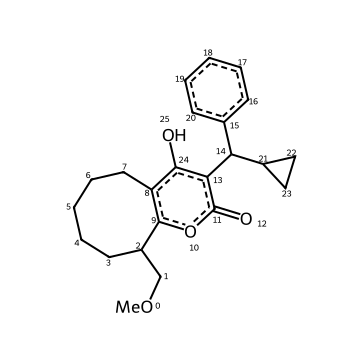 COCC1CCCCCc2c1oc(=O)c(C(c1ccccc1)C1CC1)c2O